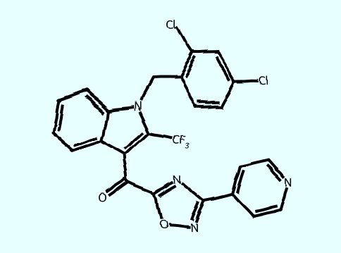 O=C(c1nc(-c2ccncc2)no1)c1c(C(F)(F)F)n(Cc2ccc(Cl)cc2Cl)c2ccccc12